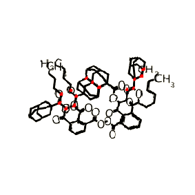 CCCCCCC(OC(=O)C12CC3CC(CC(C3)C1)C2)C(=O)c1cccc(C(=O)OOC(=O)c2cccc(C(=O)C(CCCCCC)OC(=O)C34CC5CC(CC(C5)C3)C4)c2C(=O)C(CCCCCC)OC(=O)C23CC4CC(CC(C4)C2)C3)c1C(=O)C(CCCCCC)OC(=O)C12CC3CC(CC(C3)C1)C2